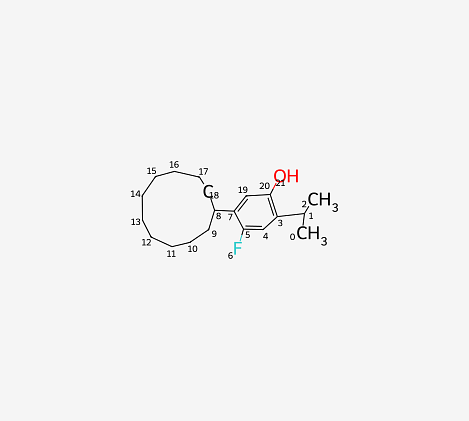 CC(C)c1cc(F)c(C2CCCCCCCCCC2)cc1O